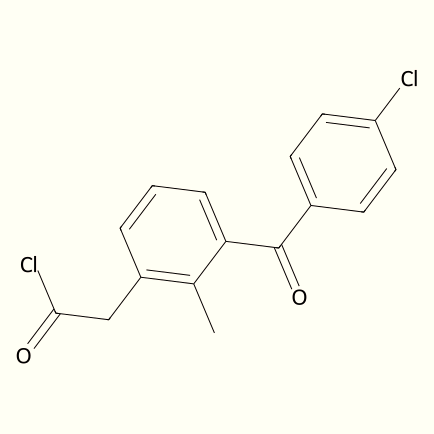 Cc1c(CC(=O)Cl)cccc1C(=O)c1ccc(Cl)cc1